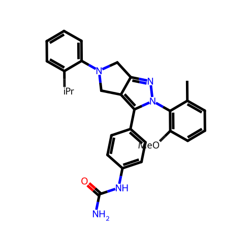 COc1cccc(C)c1-n1nc2c(c1-c1ccc(NC(N)=O)cc1)CN(c1ccccc1C(C)C)C2